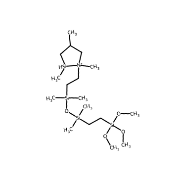 CO[Si](CC[Si](C)(C)O[Si](C)(C)CC[N+]1(C)CC(C)C[SiH]1C)(OC)OC